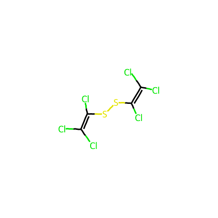 ClC(Cl)=C(Cl)SSC(Cl)=C(Cl)Cl